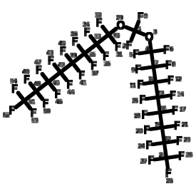 FC(F)(OC(F)(F)C(F)(F)C(F)(F)C(F)(F)C(F)(F)C(F)(F)C(F)(F)C(F)(F)F)OC(F)(F)C(F)(F)C(F)(F)C(F)(F)C(F)(F)C(F)(F)C(F)(F)C(F)(F)F